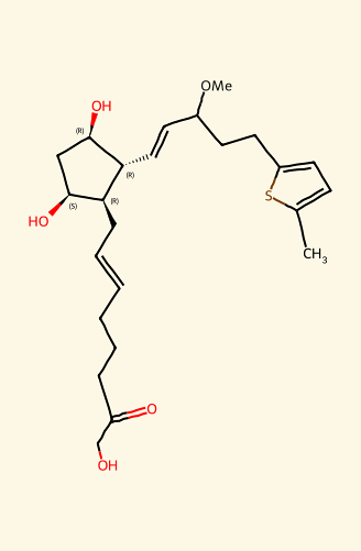 COC(C=C[C@@H]1[C@@H](CC=CCCCC(=O)CO)[C@@H](O)C[C@H]1O)CCc1ccc(C)s1